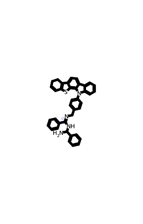 NC(N/C(=N\Cc1ccc(-n2c3ccccc3c3ccc4c5c(sc4c32)C=CCC5)cc1)c1ccccc1)c1ccccc1